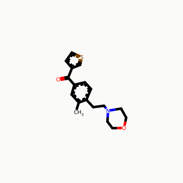 Cc1cc(C(=O)c2ccsc2)ccc1CCN1CCOCC1